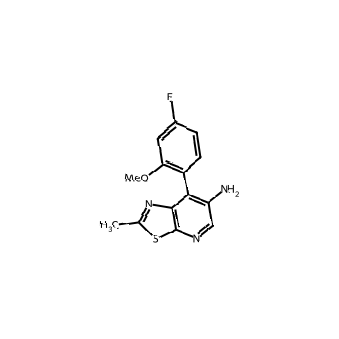 COc1cc(F)ccc1-c1c(N)cnc2sc(C)nc12